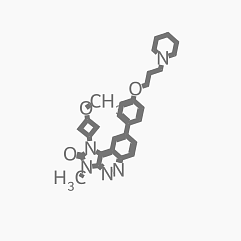 COC1CC(n2c(=O)n(C)c3nnc4ccc(-c5ccc(OCCCN6CCCCC6)cc5)cc4c32)C1